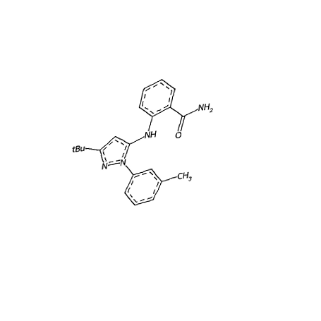 Cc1cccc(-n2nc(C(C)(C)C)cc2Nc2ccccc2C(N)=O)c1